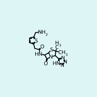 CC1(C)SC2C(NC(=O)Cc3ccc(CN)s3)C(=O)N2C1c1nnn[nH]1